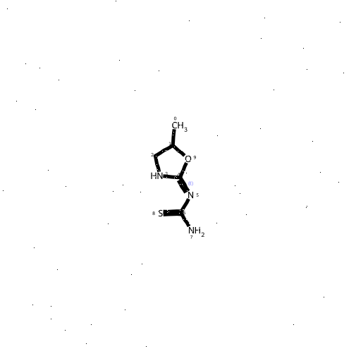 CC1CN/C(=N\C(N)=S)O1